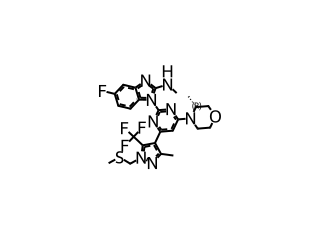 CNc1nc2cc(F)ccc2n1-c1nc(-c2c(C)nn(CSC)c2C(F)(F)F)cc(N2CCOC[C@H]2C)n1